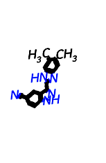 Cc1cc2nc(-c3n[nH]c4ccc(C#N)cc34)[nH]c2cc1C